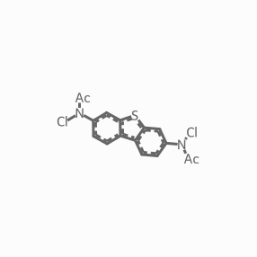 CC(=O)N(Cl)c1ccc2c(c1)sc1cc(N(Cl)C(C)=O)ccc12